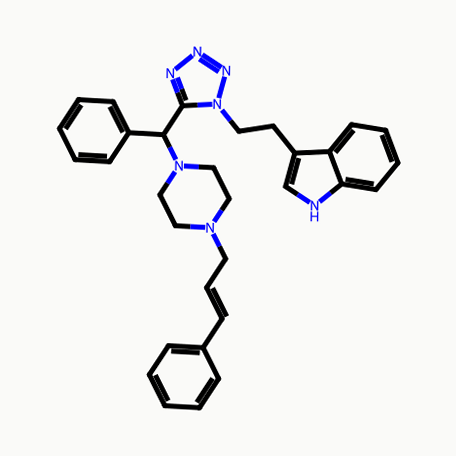 C(=C\c1ccccc1)/CN1CCN(C(c2ccccc2)c2nnnn2CCc2c[nH]c3ccccc23)CC1